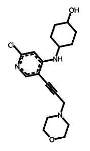 OC1CCC(Nc2cc(Cl)ncc2C#CCN2CCOCC2)CC1